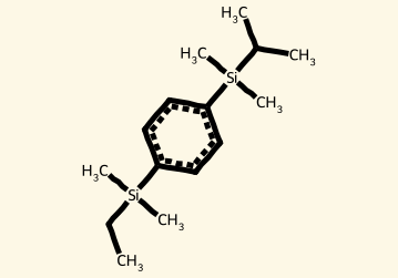 CC[Si](C)(C)c1ccc([Si](C)(C)C(C)C)cc1